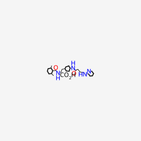 Cc1cccc(C)c1C(=O)NC(Cc1ccc(NC(=O)CCCNc2ccccn2)cc1)C(=O)O